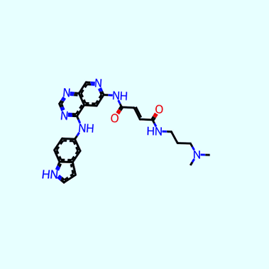 CN(C)CCCNC(=O)C=CC(=O)Nc1cc2c(Nc3ccc4[nH]ccc4c3)ncnc2cn1